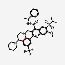 COc1cc2nc(-c3cccc(C(F)(F)F)c3)c(CN3CCC(N4CCCCC4)CC3)c(C(=O)N[C@@H](C)c3ccccc3)c2cc1S(=O)(=O)C(C)C